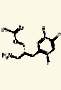 CC(C)C(=O)OC[C@@H](CN)Cc1cc(F)c(F)cc1F